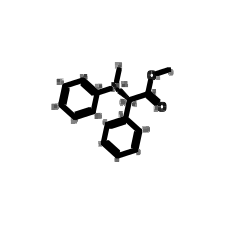 COC(=O)[C@@H](c1ccccc1)N(C)c1ccccc1